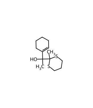 CC1(C(C)(O)C2=CCCCC2)SCCCS1